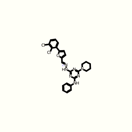 Clc1cccc(-c2ccc(/C=N/Nc3nc(Nc4ccccc4)nc(N4CCCCC4)n3)o2)c1Cl